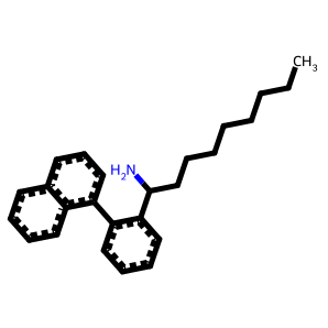 CCCCCCCCC(N)c1ccccc1-c1cccc2ccccc12